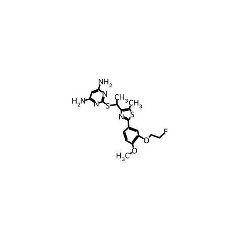 COc1ccc(-c2nc(C(C)Sc3nc(N)cc(N)n3)c(C)s2)cc1OCCF